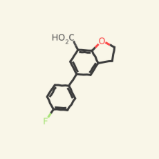 O=C(O)c1cc(-c2ccc(F)cc2)cc2c1OCC2